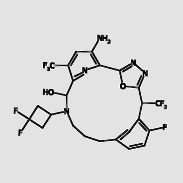 Nc1cc(C(F)(F)F)c2nc1-c1nnc(o1)C(C(F)(F)F)c1cc(ccc1F)CCCN(C1CC(F)(F)C1)C2O